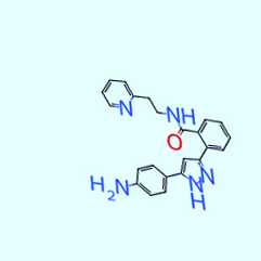 Nc1ccc(-c2cc(-c3ccccc3C(=O)NCCc3ccccn3)n[nH]2)cc1